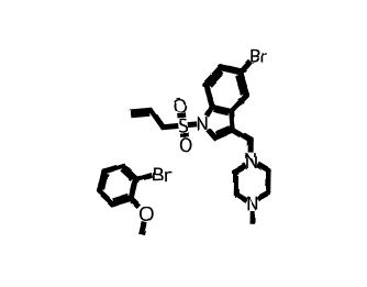 C=CCS(=O)(=O)n1cc(CN2CCN(C)CC2)c2cc(Br)ccc21.COc1ccccc1Br